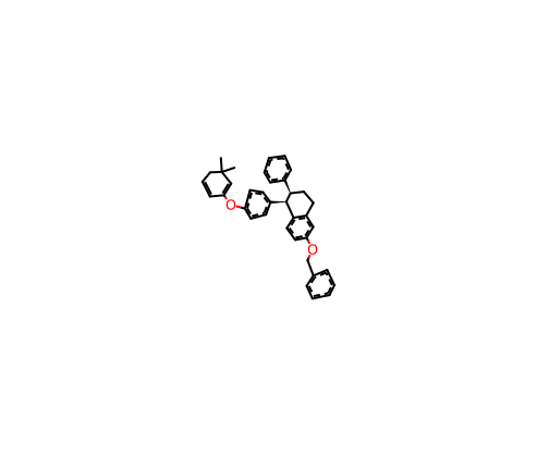 CC1(C)C=C(Oc2ccc([C@@H]3c4ccc(OCc5ccccc5)cc4CC[C@@H]3c3ccccc3)cc2)C=CC1